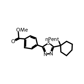 CCCCCC1(c2nnc(-c3ccc(C(=O)OC)cc3)s2)CCCCC1